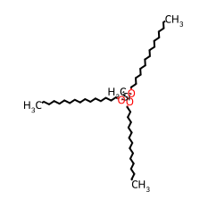 CCCCCCCCCCCCCCCCO[Si](C)(OCCCCCCCCCCCCCCCC)OCCCCCCCCCCCCCCCC